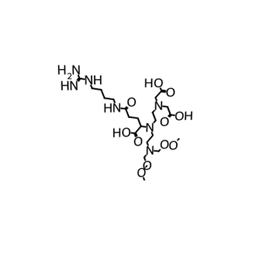 COOCN(CCN(CCN(CC(=O)O)CC(=O)O)C(CCC(=O)NCCCCNC(=N)N)C(=O)O)COOC